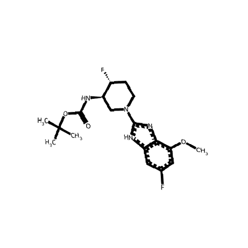 COc1cc(F)cc2[nH]c(N3CC[C@@H](F)[C@H](NC(=O)OC(C)(C)C)C3)nc12